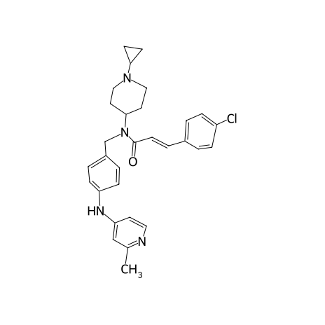 Cc1cc(Nc2ccc(CN(C(=O)C=Cc3ccc(Cl)cc3)C3CCN(C4CC4)CC3)cc2)ccn1